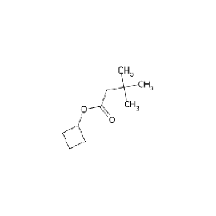 CC(C)(C)CC(=O)OC1CCC1